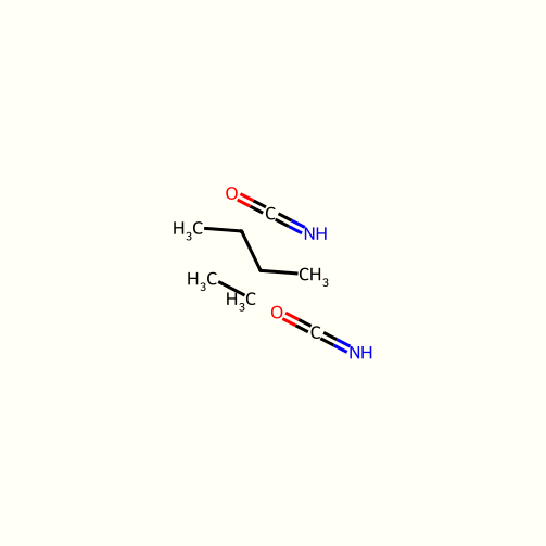 CC.CCCC.N=C=O.N=C=O